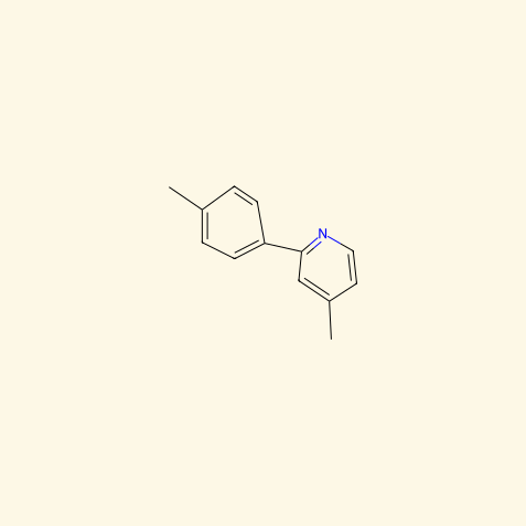 Cc1ccc(-c2cc(C)ccn2)cc1